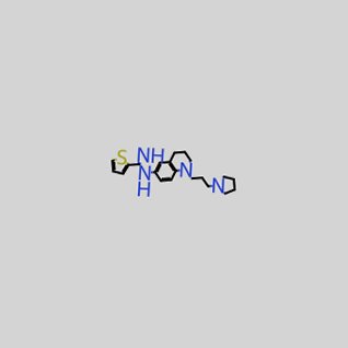 N=C(Nc1ccc2c(c1)CCCN2CCCN1CCCC1)c1cccs1